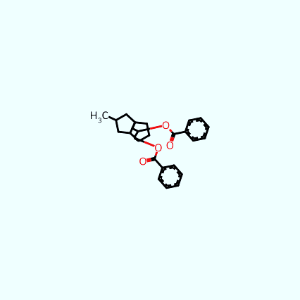 CC1CC2C3CCC2(C1)CC(OC(=O)c1ccccc1)C3OC(=O)c1ccccc1